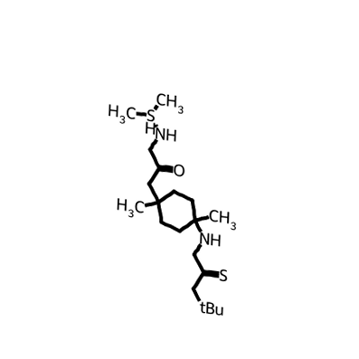 C[SH](C)NCC(=O)CC1(C)CCC(C)(NCC(=S)CC(C)(C)C)CC1